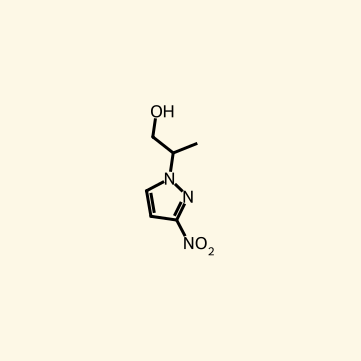 CC(CO)n1ccc([N+](=O)[O-])n1